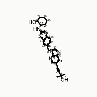 CC(C)(O)C#Cc1cnc2c(c1)ncn2Cc1ccc2nc(N[C@@H]3CCCC[C@H]3O)sc2c1